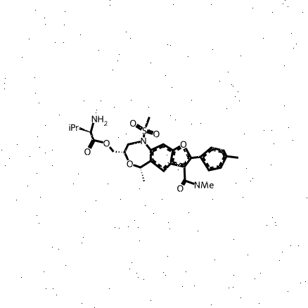 CNC(=O)c1c(-c2ccc(C)cc2)oc2cc3c(cc12)[C@H](C)O[C@H](COC(=O)[C@H](N)C(C)C)CN3S(C)(=O)=O